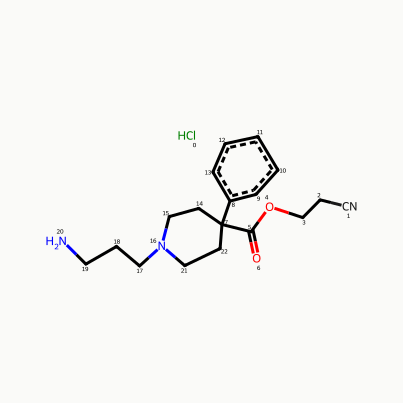 Cl.N#CCCOC(=O)C1(c2ccccc2)CCN(CCCN)CC1